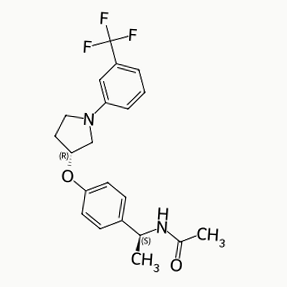 CC(=O)N[C@@H](C)c1ccc(O[C@@H]2CCN(c3cccc(C(F)(F)F)c3)C2)cc1